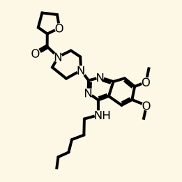 CCCCCCNc1nc(N2CCN(C(=O)C3CCCO3)CC2)nc2cc(OC)c(OC)cc12